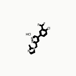 Cc1nccn1Cc1cc(-c2ccc(Cl)c(C(F)F)c2)cnn1.Cl